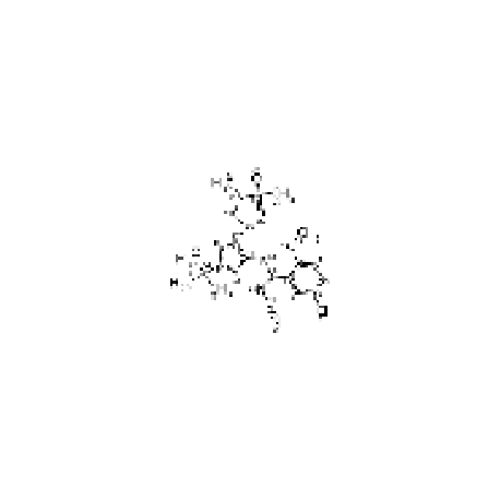 COc1ccc(Cl)cc1C(/N=c1\sc(C(C)(C)C)cn1CCN(C)S(C)(=O)=O)=N\C#N